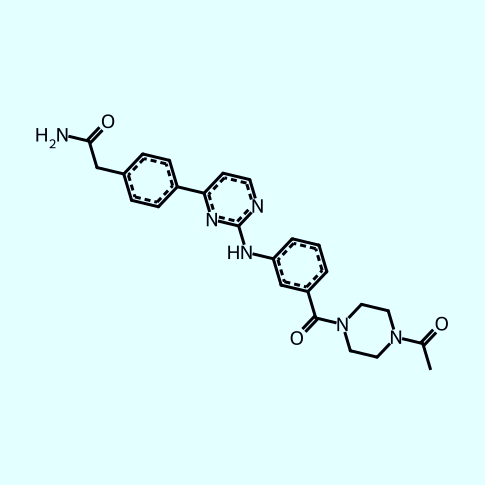 CC(=O)N1CCN(C(=O)c2cccc(Nc3nccc(-c4ccc(CC(N)=O)cc4)n3)c2)CC1